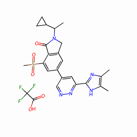 Cc1nc(-c2cc(-c3cc4c(c(S(C)(=O)=O)c3)C(=O)N(C(C)C3CC3)C4)cnn2)[nH]c1C.O=C(O)C(F)(F)F